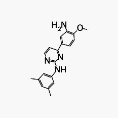 COc1ccc(-c2ccnc(Nc3cc(C)cc(C)c3)n2)cc1N